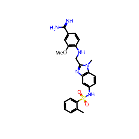 COc1cc(C(=N)N)ccc1NCc1nc2cc(NS(=O)(=O)c3ccccc3C)ccc2n1C